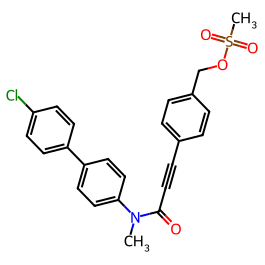 CN(C(=O)C#Cc1ccc(COS(C)(=O)=O)cc1)c1ccc(-c2ccc(Cl)cc2)cc1